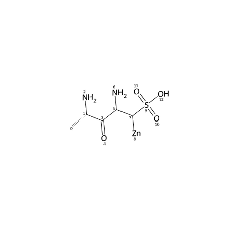 C[C@H](N)C(=O)C(N)[CH]([Zn])S(=O)(=O)O